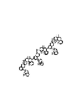 c1cnc2c(c1)CC[C@H]1CCCN(C[C@H]3Cc4c(cc(C5C[C@@H]6CCCN(C[C@H]7Cc8c(cc(C9C[C@@H]%10CCCN(C[C@H]%11Cc%12c(cccc%12N%12CCN%13CCC[C@@H]%13C%12)CN%11)[C@@H]%10c%10ncccc%109)cc8N8CCN9CCC[C@@H]9C8)CN7)[C@H]6c6ncccc65)cc4N4CCN5CCC[C@@H]5C4)CN3)C21